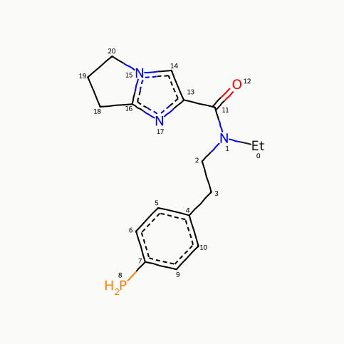 CCN(CCc1ccc(P)cc1)C(=O)c1cn2c(n1)CCC2